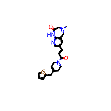 CN1CC(=O)Nc2ncc(/C=C/C(=O)N3CC=C(Cc4cccs4)CC3)cc2C1